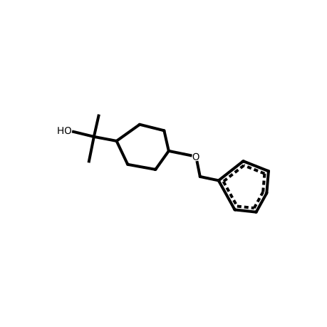 CC(C)(O)C1CCC(OCc2ccccc2)CC1